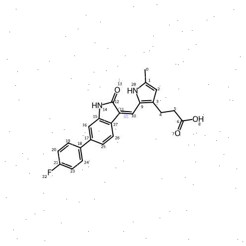 Cc1cc(CCC(=O)O)c(/C=C2\C(=O)Nc3cc(-c4ccc(F)cc4)ccc32)[nH]1